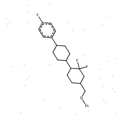 CCOCC1CCC(C2CCC(c3ccc(F)cc3)CC2)C(F)(F)C1